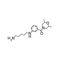 CC1CN(C(=O)c2cccc(NCCCCCN)c2)CC(C)O1